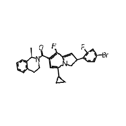 C[C@@H]1c2ccccc2CCN1C(=O)C1=C(F)C2=CC(c3ccc(Br)cc3F)CN2C(C2CC2)=C1